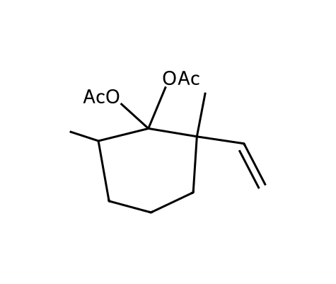 C=CC1(C)CCCC(C)C1(OC(C)=O)OC(C)=O